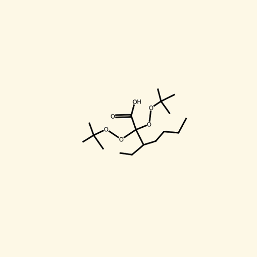 CCCCC(CC)C(OOC(C)(C)C)(OOC(C)(C)C)C(=O)O